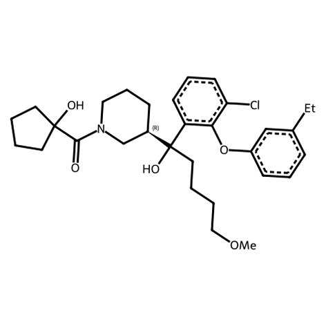 CCc1cccc(Oc2c(Cl)cccc2C(O)(CCCCOC)[C@@H]2CCCN(C(=O)C3(O)CCCC3)C2)c1